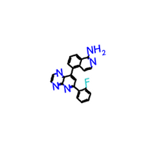 Nc1nccc2c(-c3cc(-c4ccccc4F)nc4nccnc34)cccc12